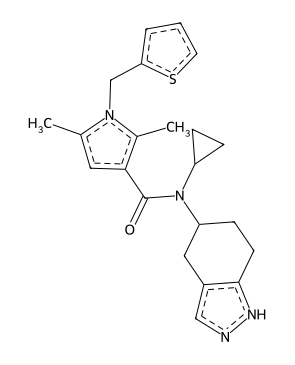 Cc1cc(C(=O)N(C2CC2)C2CCc3[nH]ncc3C2)c(C)n1Cc1cccs1